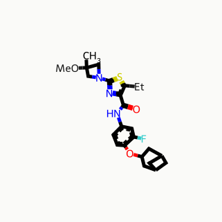 CCc1sc(N2CC(C)(OC)C2)nc1C(=O)Nc1ccc(OC2CC3CC(C3)C2)c(F)c1